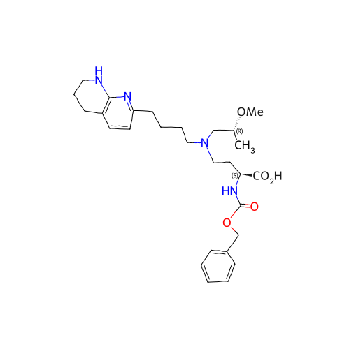 CO[C@H](C)CN(CCCCc1ccc2c(n1)NCCC2)CC[C@H](NC(=O)OCc1ccccc1)C(=O)O